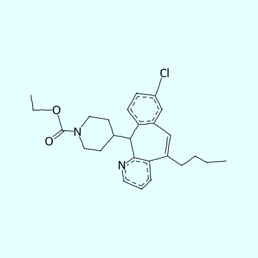 CCCCC1=Cc2cc(Cl)ccc2C(C2CCN(C(=O)OCC)CC2)c2ncccc21